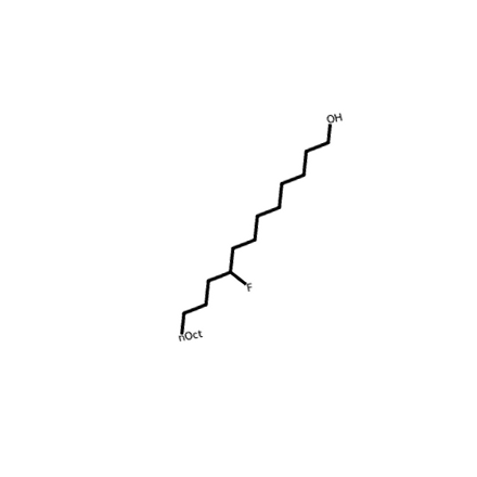 CCCCCCCCCCCC(F)CCCCCCCCO